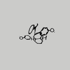 COC1=CCC([C@H]2[C@H]3CCCC[C@H]3c3cc(OC)ccc3[C@@H]2C(C)=O)C=C1